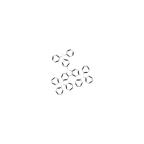 O=P(c1ccccc1)(c1ccccc1)c1ccc(-n2c3ccc([Si](c4ccccc4)(c4ccccc4)c4ccccc4)cc3c3cc([Si](c4ccccc4)(c4ccccc4)c4ccccc4)ccc32)cc1